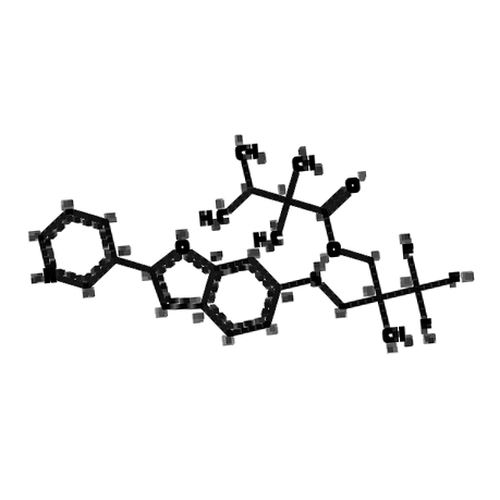 CC(C)C(C)(C)C(=O)OCC(C)(CSc1ccc2cc(-c3cccnc3)oc2c1)C(F)(F)F